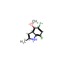 COc1c(F)cc(F)c2[nH]c(C)cc12